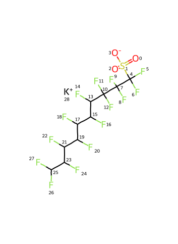 O=S(=O)([O-])C(F)(F)C(F)(F)C(F)(F)C(F)C(F)C(F)C(F)C(F)C(F)C(F)F.[K+]